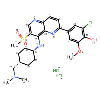 COc1cc(-c2ccc3ncc(S(C)(=O)=O)c(N[C@H]4CC[C@H](CN(C)C)CC4)c3n2)cc(Cl)c1O.Cl.Cl